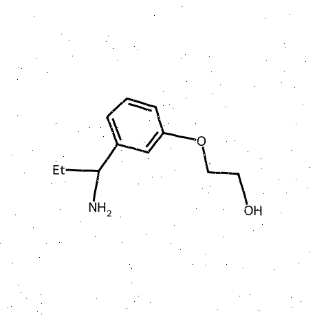 CCC(N)c1cccc(OCCO)c1